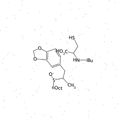 CCC(C)NC(CS)C(=O)O.CCCCCCCC[S+]([O-])C(C)Cc1ccc2c(c1)OCO2